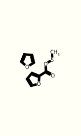 CSOC(=O)c1ccco1.c1ccoc1